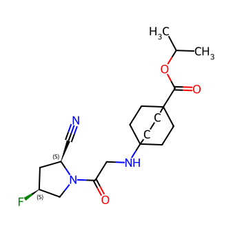 CC(C)OC(=O)C12CCC(NCC(=O)N3C[C@@H](F)C[C@H]3C#N)(CC1)CC2